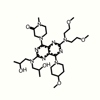 COCCN(CCOC)c1nc(N2CCC(OC)CC2)c2nc(N(CC(C)O)CC(C)O)nc(N3CCN(C)C(=O)C3)c2n1